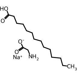 CCCCCCCCCCCCCC(=O)O.NCC(=O)[O-].[Na+]